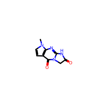 Cn1ccc2c(=O)n3c(nc21)NC(=O)C3